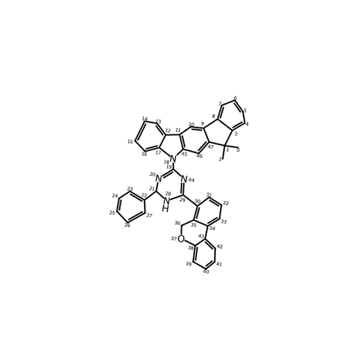 CC1(C)c2ccccc2-c2cc3c4ccccc4n(C4=NC(c5ccccc5)NC(c5cccc6c5COc5ccccc5-6)=N4)c3cc21